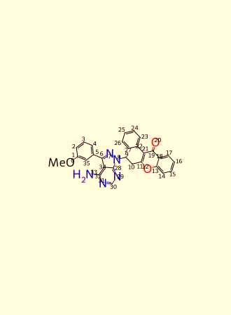 COc1cccc(-c2nn(CCc3oc4ccccc4c(=O)c3-c3ccccc3)c3ncnc(N)c23)c1